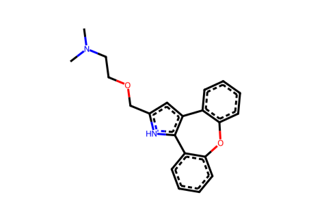 CN(C)CCOCc1cc2c([nH]1)-c1ccccc1Oc1ccccc1-2